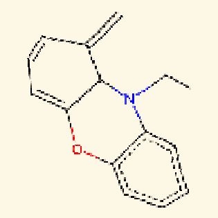 C=C1C=CC=C2Oc3ccccc3N(CC)C12